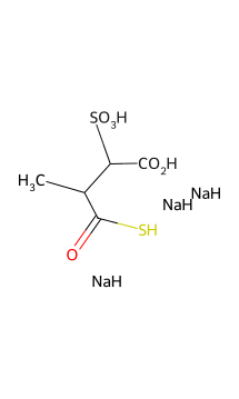 CC(C(=O)S)C(C(=O)O)S(=O)(=O)O.[NaH].[NaH].[NaH]